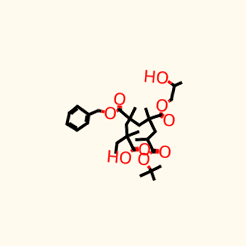 CCC(C)(CC(C)(CC(C)(CC(C)C(=O)OC(C)(C)C)C(=O)OCC(C)O)C(=O)OCc1ccccc1)C(=O)O